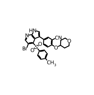 Cc1ccc(S(=O)(=O)c2c(Br)cnc3[nH]cc(-c4ccc(OC5CCOCC5)c(C#N)c4)c23)cc1